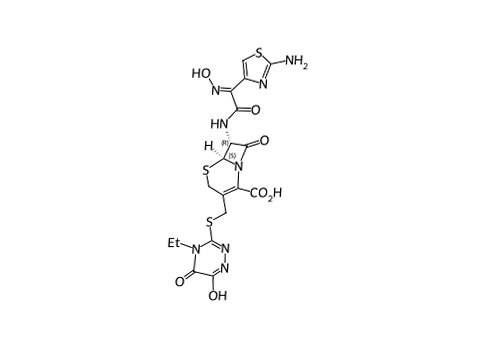 CCn1c(SCC2=C(C(=O)O)N3C(=O)[C@@H](NC(=O)C(=NO)c4csc(N)n4)[C@@H]3SC2)nnc(O)c1=O